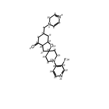 O=C1CC(CN2C=CN=CC2)CC2OC3(CCN(c4ccncc4F)CC3)CC12